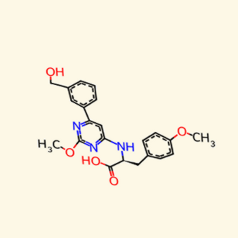 COc1ccc(C[C@H](Nc2cc(-c3cccc(CO)c3)nc(OC)n2)C(=O)O)cc1